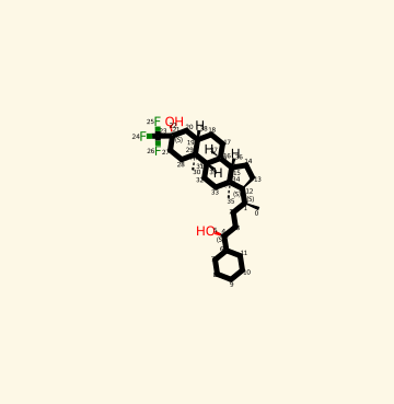 C[C@@H](CC[C@H](O)C1CCCCC1)[C@@H]1CC[C@H]2[C@@H]3CC[C@H]4C[C@](O)(C(F)(F)F)CC[C@]4(C)[C@H]3CC[C@@]21C